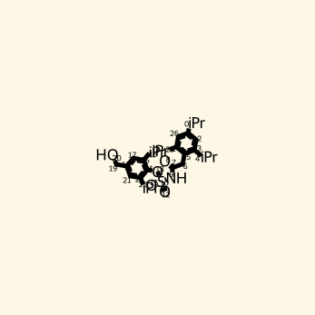 CC(C)c1cc(C(C)C)c(CC(=O)NS(=O)(=O)Oc2c(C(C)C)cc(CO)cc2C(C)C)c(C(C)C)c1